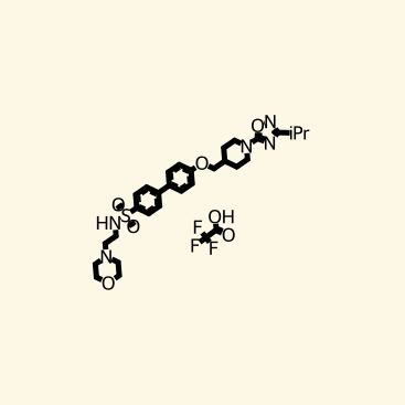 CC(C)c1noc(N2CCC(COc3ccc(-c4ccc(S(=O)(=O)NCCN5CCOCC5)cc4)cc3)CC2)n1.O=C(O)C(F)(F)F